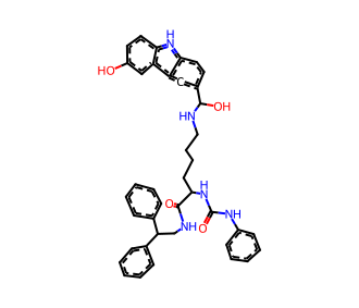 O=C(Nc1ccccc1)NC(CCCCNC(O)c1ccc2[nH]c3ccc(O)cc3c2c1)C(=O)NCC(c1ccccc1)c1ccccc1